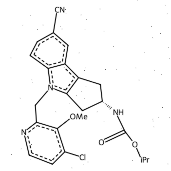 COc1c(Cl)ccnc1Cn1c2c(c3cc(C#N)ccc31)C[C@H](NC(=O)OC(C)C)C2